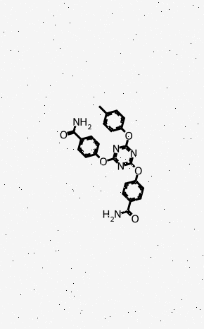 Cc1ccc(Oc2nc(Oc3ccc(C(N)=O)cc3)nc(Oc3ccc(C(N)=O)cc3)n2)cc1